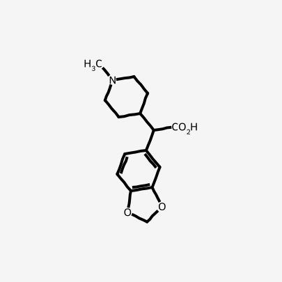 CN1CCC(C(C(=O)O)c2ccc3c(c2)OCO3)CC1